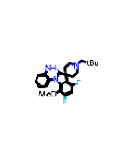 COc1c(F)cc(F)c2c1N(c1ccccc1N)CC21CCN(CC(C)(C)C)CC1